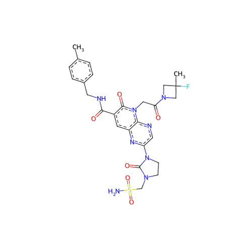 Cc1ccc(CNC(=O)c2cc3nc(N4CCN(CS(N)(=O)=O)C4=O)cnc3n(CC(=O)N3CC(C)(F)C3)c2=O)cc1